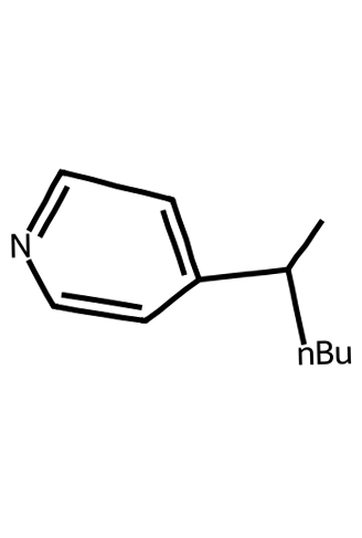 C[CH]CCC(C)c1ccncc1